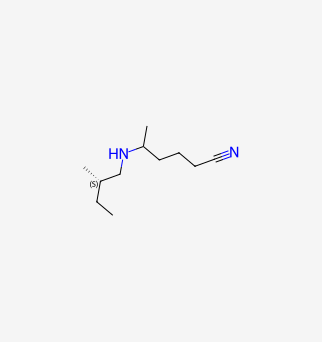 CC[C@H](C)CNC(C)CCCC#N